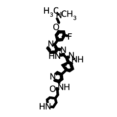 CN(C)CCOc1cc(F)cc(-c2nccc3[nH]c(-c4n[nH]c5ccc(-c6cncc(NC(=O)CC7CCNCC7)c6)cc45)nc23)c1